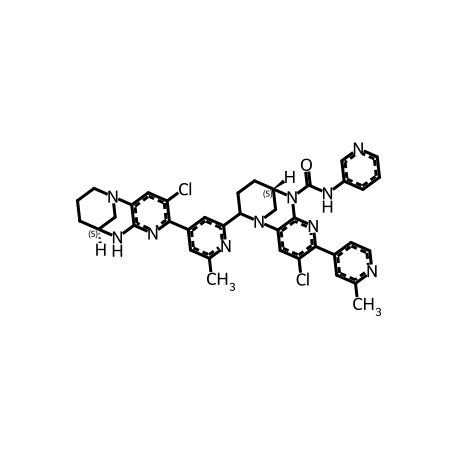 Cc1cc(-c2nc3c(cc2Cl)N2C[C@H](CCC2c2cc(-c4nc5c(cc4Cl)N4CCC[C@@H](C4)N5)cc(C)n2)N3C(=O)Nc2cccnc2)ccn1